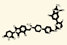 Cc1nc2c(F)cc(-c3nc(Nc4ccc(N5CCC(N(C)Cc6ccc7c(c6Br)C(=O)N(C6CCC(=O)NC6=O)C7=O)CC5)cn4)ncc3F)cc2n1C(C)C